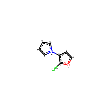 Clc1occc1-n1cccc1